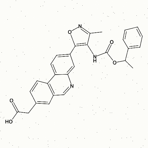 Cc1noc(-c2ccc3c(c2)ncc2cc(CC(=O)O)ccc23)c1NC(=O)OC(C)c1ccccc1